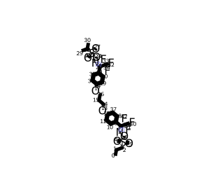 CCCS(=O)(=O)O/N=C(/c1ccc(OCCCOc2ccc(/C(=N/OS(=O)(=O)C(C)C)C(F)(F)F)cc2)cc1)C(F)(F)F